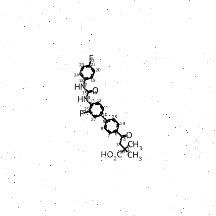 CC(C)(CC(=O)c1ccc(-c2ccc(NC(=O)Nc3ccc(F)cc3)c(F)c2)cc1)C(=O)O